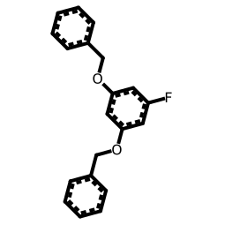 Fc1cc(OCc2ccccc2)cc(OCc2ccccc2)c1